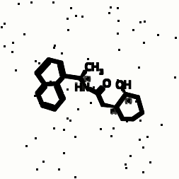 C[C@@H](NC(=O)C[C@@H]1CCCC[C@H]1O)c1cccc2ccccc12